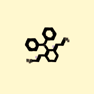 C=C/C=C1\CCCC(/C=C/C)=C1N(c1ccccc1)c1ccccc1